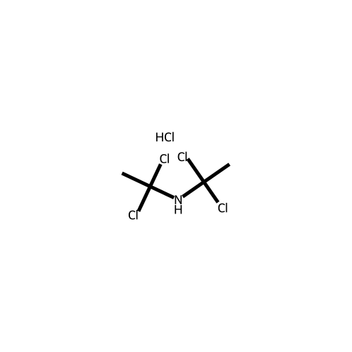 CC(Cl)(Cl)NC(C)(Cl)Cl.Cl